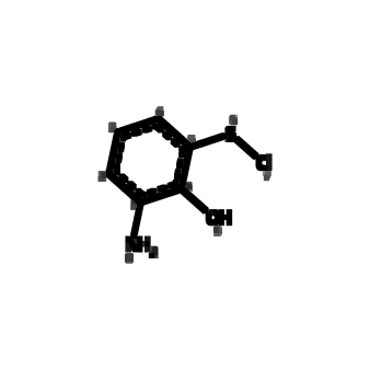 Nc1cccc(SCl)c1O